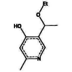 CCOC(C)c1cnc(C)cc1O